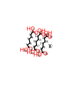 O=C(O)CCCCCC(=O)O.O=C(O)CCCCCC(=O)O.O=C(O)CCCCCC(=O)O.[Y]